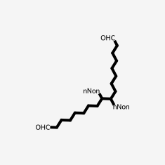 CCCCCCCCCC(CCCCCCCC=O)C(CCCCCCCC=O)CCCCCCCCC